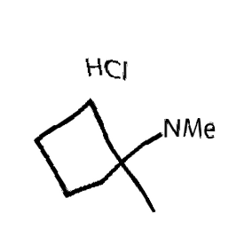 CNC1(C)CCC1.Cl